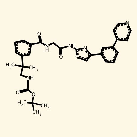 CC(C)(C)OC(=O)NCC(C)(C)c1cccc(C(=O)NCC(=O)Nc2nc(-c3cccc(-c4ccncc4)c3)cs2)c1